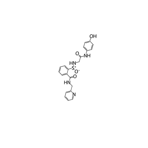 O=C(CN[S+]([O-])c1ccccc1C(=O)NCc1ccccn1)Nc1ccc(O)cc1